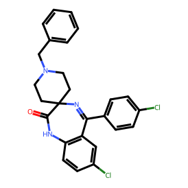 O=C1Nc2ccc(Cl)cc2C(c2ccc(Cl)cc2)=NC12CCN(Cc1ccccc1)CC2